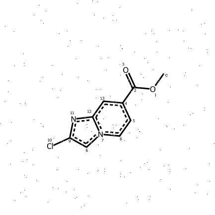 COC(=O)c1ccn2cc(Cl)nc2c1